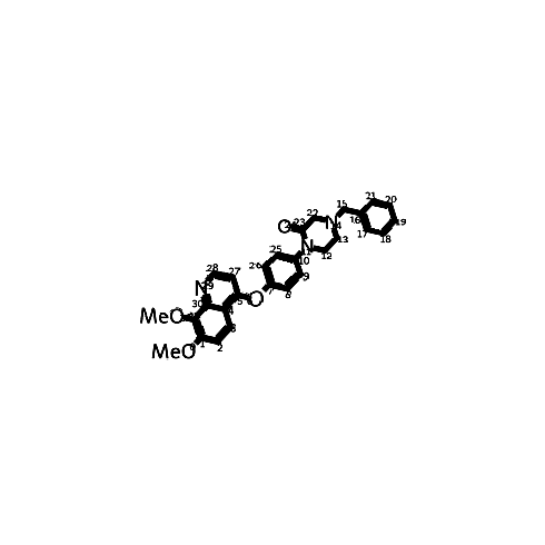 COc1ccc2c(Oc3ccc(N4CCN(Cc5ccccc5)CC4=O)cc3)ccnc2c1OC